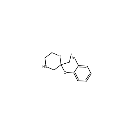 CCC1(Oc2ccccc2Br)CNCCO1